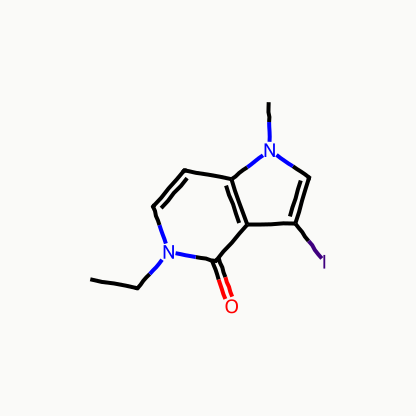 CCn1ccc2c(c(I)cn2C)c1=O